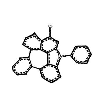 Clc1cc2c3c4c(cccc14)-c1ccccc1-c1cccc(c13)n2-c1ccccc1